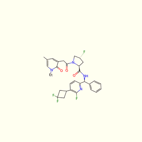 CCn1cc(C)cc(CC(=O)N2C[C@H](F)C[C@H]2C(=O)N[C@@H](c2ccccc2)c2ccc(C3CC(F)(F)C3)c(F)n2)c1=O